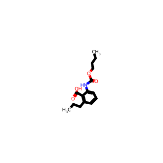 CCCCOC(=O)Nc1cccc(CCC)c1C(=O)O